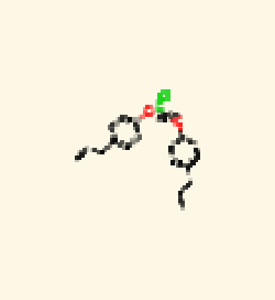 C=CCc1ccc([O][Zr+2][O]c2ccc(CC=C)cc2)cc1.[Cl-].[Cl-]